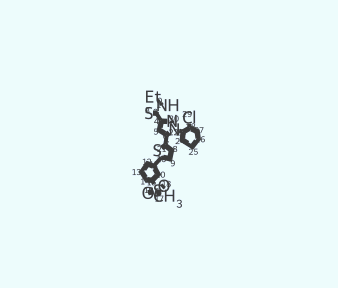 CCNC(=S)c1cc(-c2ccc(-c3cccc(S(C)(=O)=O)c3)s2)n(-c2ccccc2Cl)n1